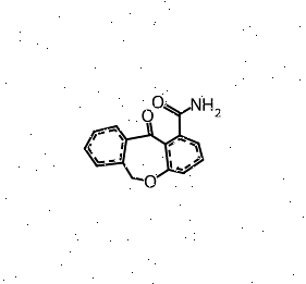 NC(=O)c1cccc2c1C(=O)c1ccccc1CO2